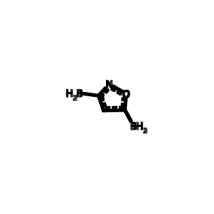 Bc1cc(B)on1